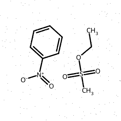 CCOS(C)(=O)=O.O=[N+]([O-])c1ccccc1